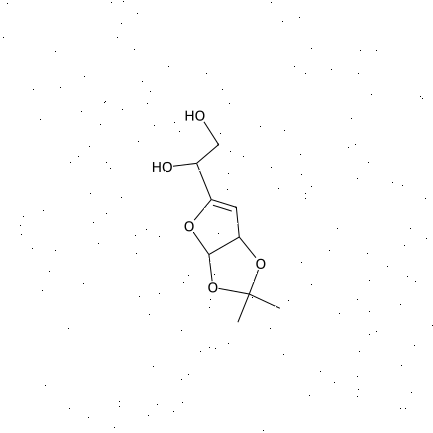 CC1(C)OC2C=C(C(O)CO)OC2O1